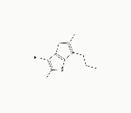 CCCC1=C(C)Cc2c1sc(C)c2Br